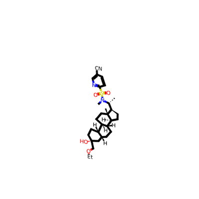 CCOC[C@@]1(O)CC[C@H]2[C@H](CC[C@@H]3[C@@H]2CC[C@]2(C)[C@@H]([C@@H](C)N(C)S(=O)(=O)c4ccc(C#N)cn4)CC[C@@H]32)C1